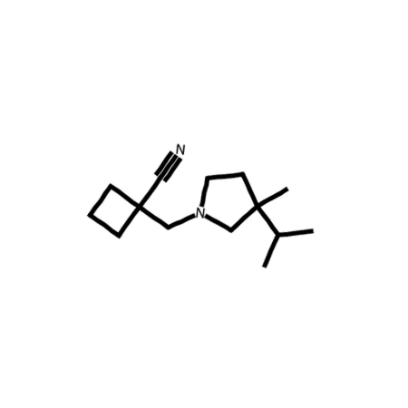 CC(C)C1(C)CCN(CC2(C#N)CCC2)C1